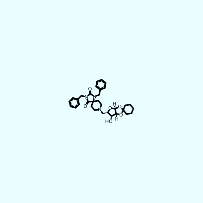 O=C1N(Cc2ccccc2)C(=O)C2(CCN(C[C@H]3O[C@@H]4OC5(CCCCC5)O[C@@H]4[C@H]3O)CC2)N1Cc1ccccc1